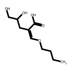 CCCCOC=C(CC(O)CO)C(=O)O